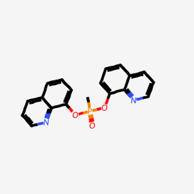 CP(=O)(Oc1cccc2cccnc12)Oc1cccc2cccnc12